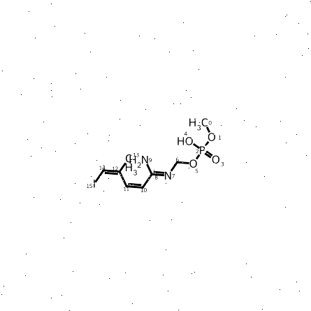 COP(=O)(O)OC/N=C(N)/C=C\C(C)=C/I